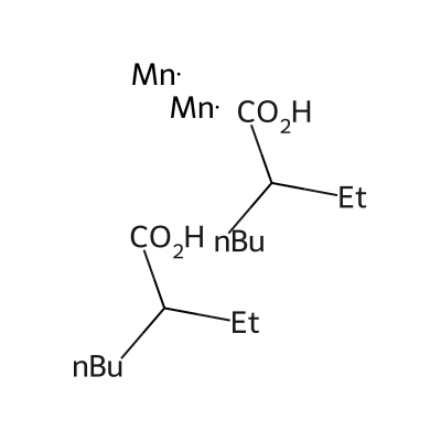 CCCCC(CC)C(=O)O.CCCCC(CC)C(=O)O.[Mn].[Mn]